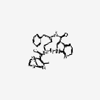 Cc1nc2sccn2c1C(=O)NCCC(Cc1ccccc1)N(C)C(=O)c1c[nH]c2ncccc12